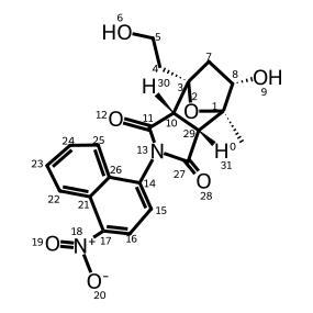 C[C@]12O[C@](CCO)(C[C@@H]1O)[C@H]1C(=O)N(c3ccc([N+](=O)[O-])c4ccccc34)C(=O)[C@H]12